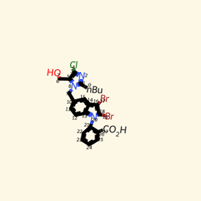 CCCCc1nc(Cl)c(CO)n1Cc1ccc2c(c1)c(Br)c(Br)n2-c1ccccc1C(=O)O